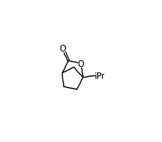 CC(C)C12CCC(C1)C(=O)O2